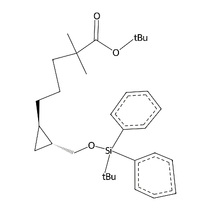 CC(C)(C)OC(=O)C(C)(C)CCC[C@@H]1C[C@H]1CO[Si](c1ccccc1)(c1ccccc1)C(C)(C)C